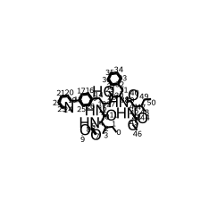 CCC(C)C(NC(=O)OC)C(=O)NC(Cc1ccc(-c2ccccn2)cc1)CC(O)C(Cc1ccccc1)NC(=O)C(NC(=O)OC)C(C)CC